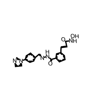 O=C(/C=C/c1cccc(C(=O)N/N=C/c2ccc(-n3ccnc3)cc2)c1)NO